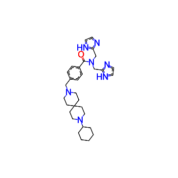 O=C(c1ccc(CN2CCC3(CC2)CCN(C2CCCCC2)CC3)cc1)N(Cc1ncc[nH]1)Cc1ncc[nH]1